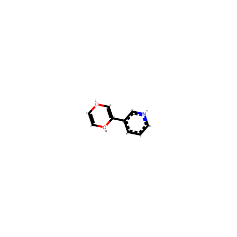 [C]1=COC=C(c2cccnc2)O1